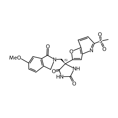 COc1ccc2c(c1)C(=O)N(C[C@@]1(c3cc4nc(S(C)(=O)=O)ccc4o3)NC(=O)NC1=O)C2